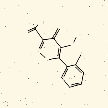 COc1c(-c2ccccc2F)[nH]nc(C(C)=O)c1=O